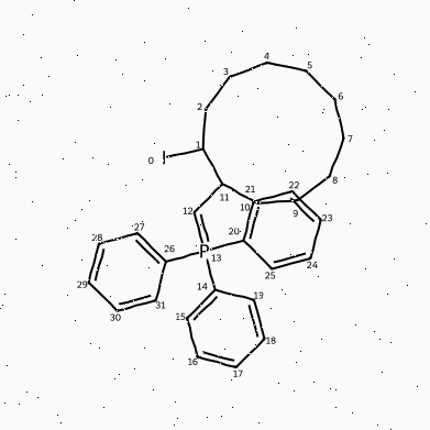 IC1CCCCCCCCCC1C=P(c1ccccc1)(c1ccccc1)c1ccccc1